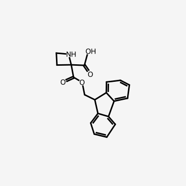 O=C(O)C1(C(=O)OCC2c3ccccc3-c3ccccc32)CCN1